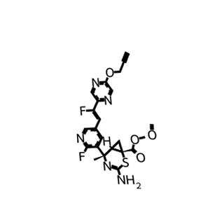 C#CCOc1cnc(/C(F)=C/c2cnc(F)c([C@@]3(C)N=C(N)S[C@@]4(C(=O)OC)C[C@H]43)c2)cn1.C=O